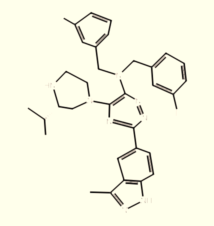 Cc1n[nH]c2ccc(-c3nnc(N(Cc4cccc(F)c4)Cc4cccc(F)c4)c(N4CCN[C@@H](C(C)C)C4)n3)cc12